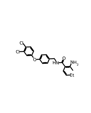 CC/C=C\C(C(=O)NCc1ccc(Oc2ccc(Cl)c(Cl)c2)cc1)=C(/C)N